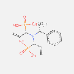 C=CC(N(C(C=C)P(=O)(O)O)[C@H](C(=O)O)c1ccccc1)P(=O)(O)O